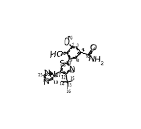 COc1cc(C(N)=O)cc(-c2nc(C(C)(C)C)c(-n3cncn3)s2)c1O